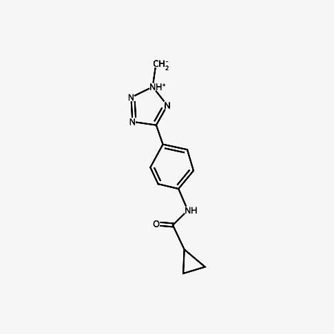 [CH2-][NH+]1N=NC(c2ccc(NC(=O)C3CC3)cc2)=N1